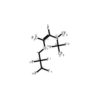 F/C(=C(/OCC(F)(F)C(F)F)C(F)(F)F)N(C(F)(F)F)C(F)(F)C(F)(F)F